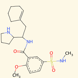 CNS(=O)(=O)c1ccc(OC)c(C(=O)NC(CC2=CCCCC2)C2CCCN2)c1